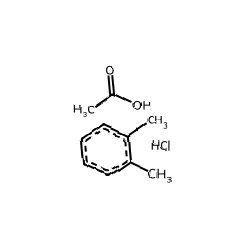 CC(=O)O.Cc1ccccc1C.Cl